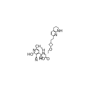 Cc1cc(C(=O)N[C@H](CCOC2CC(CCc3ccc4c(n3)NCCC4)C2)C(=O)O)c(C#N)c(O)n1